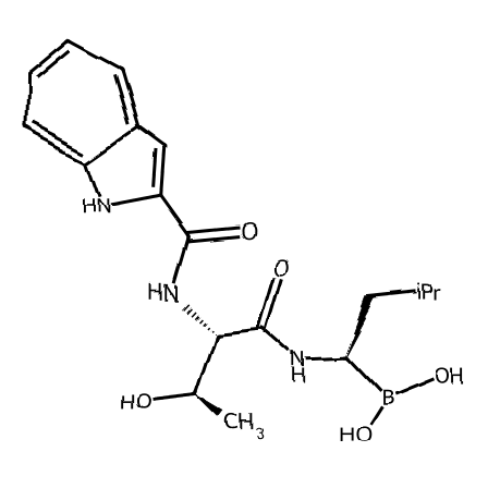 CC(C)C[C@H](NC(=O)[C@@H](NC(=O)c1cc2ccccc2[nH]1)[C@@H](C)O)B(O)O